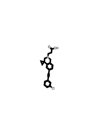 O=C(O)CCN1Cc2ccc(C#Cc3cccc(Cl)c3)cc2C2(CC2)C1